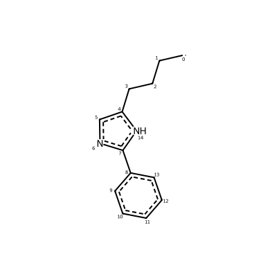 [CH2]CCCc1cnc(-c2ccccc2)[nH]1